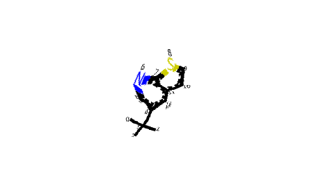 CC(C)(C)c1cnc2sccc2c1